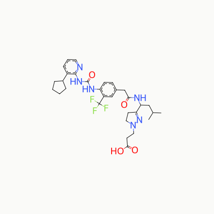 CC(C)CC(NC(=O)Cc1ccc(NC(=O)Nc2ncccc2C2CCCC2)c(C(F)(F)F)c1)C1=NN(CCC(=O)O)CC1